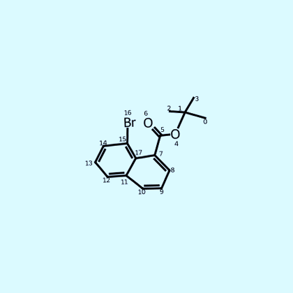 CC(C)(C)OC(=O)c1cccc2cccc(Br)c12